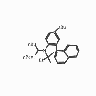 CCCCCC(CCCC)N(c1ccc(C(C)(C)C)cc1-c1cccc2ccccc12)C(C)(C)CC